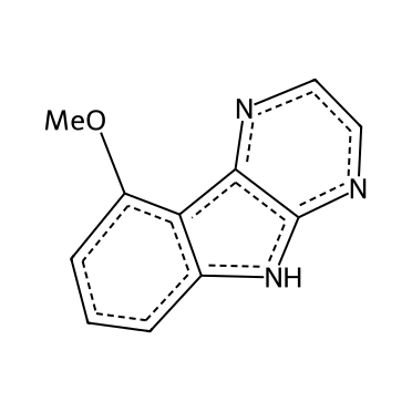 COc1cccc2[nH]c3nccnc3c12